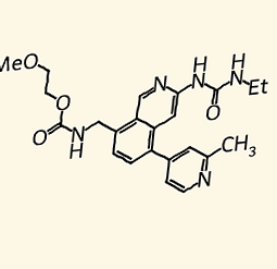 CCNC(=O)Nc1cc2c(-c3ccnc(C)c3)ccc(CNC(=O)OCCOC)c2cn1